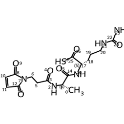 C[C@H](NC(=O)CCN1C(=O)C=CC1=O)C(=O)N[C@@H](CCCNC(N)=O)C(=O)S